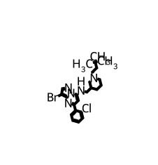 CC(C)(C)CCN1CCCC(CNc2cc(-c3ccccc3Cl)nc3c(Br)cnn23)C1